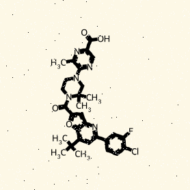 Cc1nc(C(=O)O)cnc1N1CCN(C(=O)c2cc3nc(-c4ccc(Cl)c(F)c4)cc(C(C)(C)C)c3o2)C(C)(C)C1